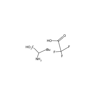 CCC(C)C(N)C(=O)O.O=C(O)C(F)(F)F